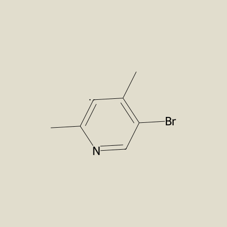 Cc1[c]c(C)c(Br)cn1